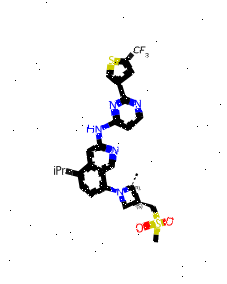 CC(C)c1ccc(N2C[C@H](CS(C)(=O)=O)[C@H]2C)c2cnc(Nc3ccnc(-c4csc(C(F)(F)F)c4)n3)cc12